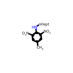 CCCCCCCNc1c([N+](=O)[O-])cc(C)cc1[N+](=O)[O-]